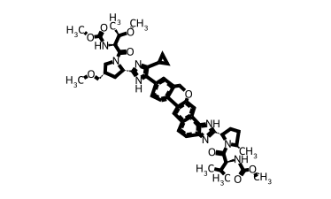 COC[C@H]1C[C@@H](c2nc(C3CC3)c(-c3ccc4c(c3)COc3cc5c(ccc6nc([C@@H]7CC[C@H](C)N7C(=O)[C@@H](NC(=O)OC)C(C)C)[nH]c65)cc3-4)[nH]2)N(C(=O)[C@@H](NC(=O)OC)[C@@H](C)OC)C1